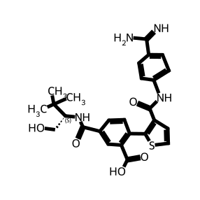 CC(C)(C)[C@@H](CO)NC(=O)c1ccc(-c2sccc2C(=O)Nc2ccc(C(=N)N)cc2)c(C(=O)O)c1